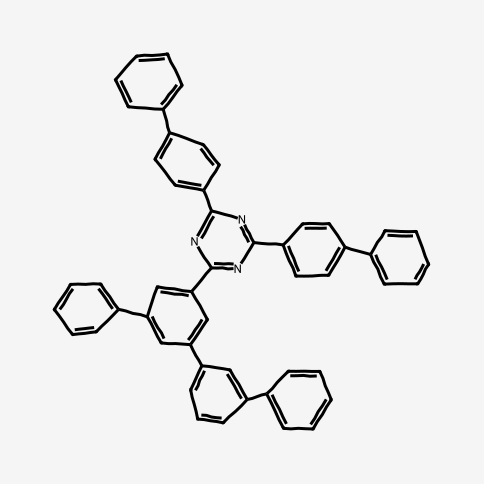 c1ccc(-c2ccc(-c3nc(-c4ccc(-c5ccccc5)cc4)nc(-c4cc(-c5ccccc5)cc(-c5cccc(-c6ccccc6)c5)c4)n3)cc2)cc1